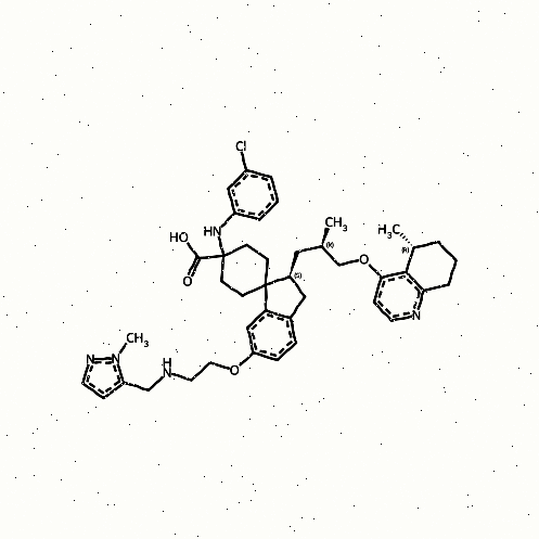 C[C@@H](COc1ccnc2c1[C@H](C)CCC2)C[C@H]1Cc2ccc(OCCNCc3ccnn3C)cc2C12CCC(Nc1cccc(Cl)c1)(C(=O)O)CC2